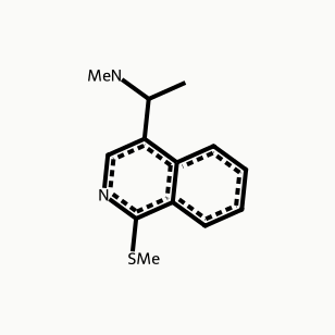 CNC(C)c1cnc(SC)c2ccccc12